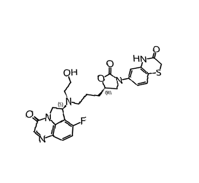 O=C1CSc2ccc(N3C[C@@H](CCCN(CCO)[C@@H]4Cn5c(=O)cnc6ccc(F)c4c65)OC3=O)cc2N1